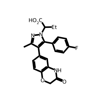 CCC(C(=O)O)n1nc(C)c(-c2ccc3c(c2)NC(=O)CO3)c1-c1ccc(F)cc1